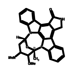 CNC1C[C@H]2O[C@@](C)(C1OC)n1c3ccccc3c3c4c(c5c6ccccc6n2c5c31)C(=O)NC4